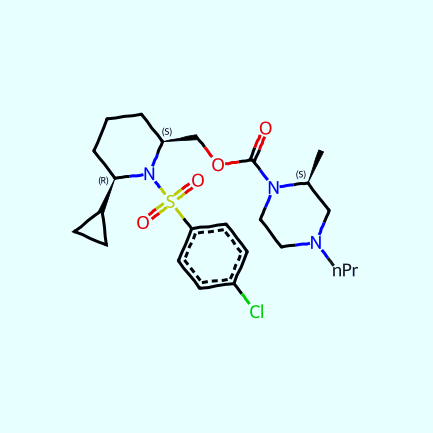 CCCN1CCN(C(=O)OC[C@@H]2CCC[C@H](C3CC3)N2S(=O)(=O)c2ccc(Cl)cc2)[C@@H](C)C1